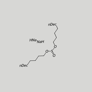 CCCCCCCCCCCCCCOS(=O)OCCCCCCCCCCCCCC.[NaH].[NaH]